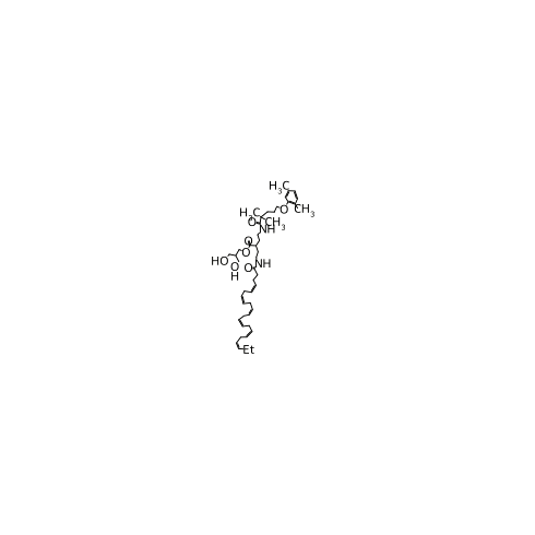 CC/C=C\C/C=C\C/C=C\C/C=C\C/C=C\C/C=C\CCC(=O)NCCC(CCNC(=O)C(C)(C)CCCOc1cc(C)ccc1C)C(=O)OCC(CO)CO